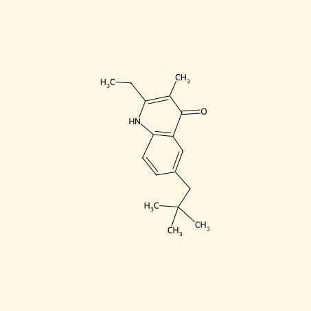 CCc1[nH]c2ccc(CC(C)(C)C)cc2c(=O)c1C